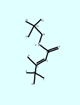 C=C(/C=C(\C)C(C)(C)C)SCC(C)(C)C